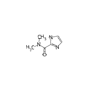 CN(C)C(=O)C1=NC=C[N]1